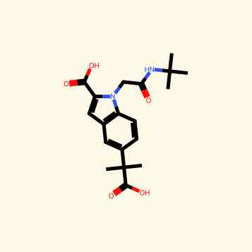 CC(C)(C)NC(=O)Cn1c(C(=O)O)cc2cc(C(C)(C)C(=O)O)ccc21